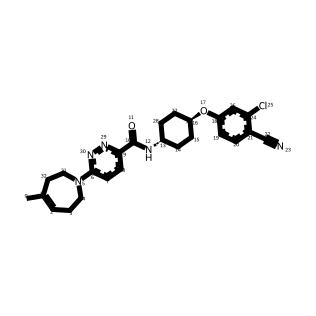 CC1=CCCN(c2ccc(C(=O)N[C@H]3CC[C@H](Oc4ccc(C#N)c(Cl)c4)CC3)nn2)CC1